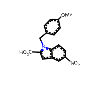 COc1ccc(Cn2c(C(=O)O)cc3cc([N+](=O)[O-])ccc32)cc1